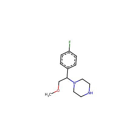 COCC(c1ccc(F)cc1)N1CCNCC1